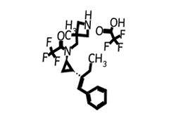 CC/C(=C\c1ccccc1)[C@@H]1C[C@H]1N(CC1(C)CNC1)C(=O)C(F)(F)F.O=C(O)C(F)(F)F